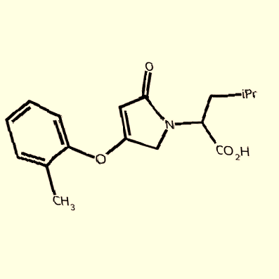 Cc1ccccc1OC1=CC(=O)N(C(CC(C)C)C(=O)O)C1